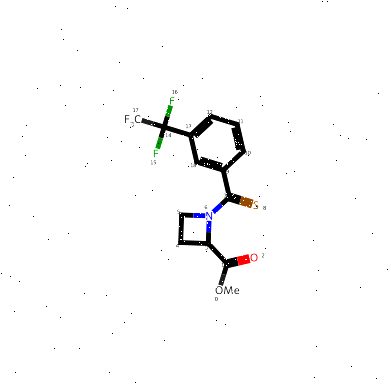 COC(=O)C1CCN1C(=S)c1cccc(C(F)(F)C(F)(F)F)c1